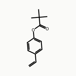 C=Cc1ccc(OC(=O)C(C)(C)C)cc1